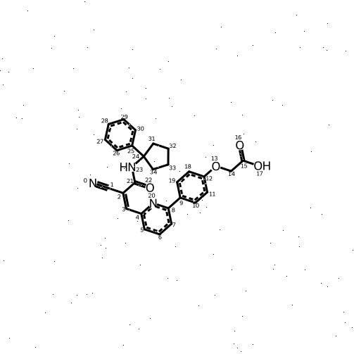 N#CC(=Cc1cccc(-c2ccc(OCC(=O)O)cc2)n1)C(=O)NC1(c2ccccc2)CCCC1